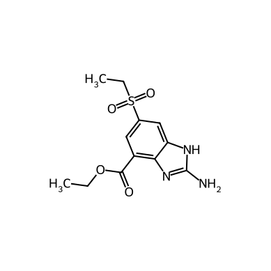 CCOC(=O)c1cc(S(=O)(=O)CC)cc2[nH]c(N)nc12